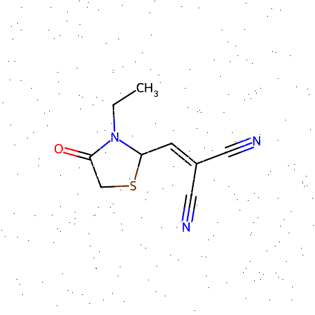 CCN1C(=O)CSC1C=C(C#N)C#N